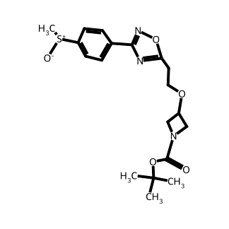 C[S+]([O-])c1ccc(-c2noc(CCOC3CN(C(=O)OC(C)(C)C)C3)n2)cc1